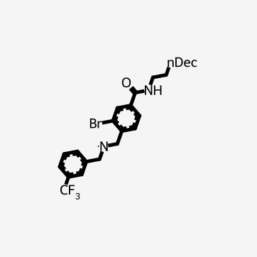 CCCCCCCCCCCCNC(=O)c1ccc(C[N]Cc2cccc(C(F)(F)F)c2)c(Br)c1